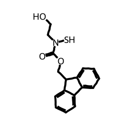 O=C(OCC1c2ccccc2-c2ccccc21)N(S)CCO